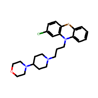 Clc1ccc2c(c1)N(CCCN1CCC(N3CCOCC3)CC1)c1ccccc1S2